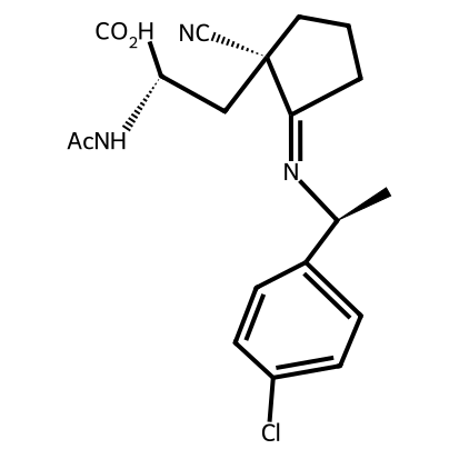 CC(=O)N[C@@H](C[C@@]1(C#N)CCC/C1=N\[C@@H](C)c1ccc(Cl)cc1)C(=O)O